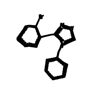 Brc1ccccc1-c1nncn1-c1ccccc1